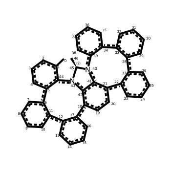 Cc1cccc2c3ccccc3c3ccccc3c3ccc4c5ccccc5c5ccccc5c5ccccc5n5c4c3n(c12)[C@H]5C